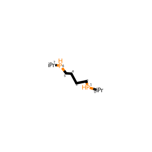 CC(C)PCCCCPC(C)C